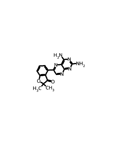 CC1(C)Oc2cccc(-c3cnc4nc(N)nc(N)c4n3)c2C1=O